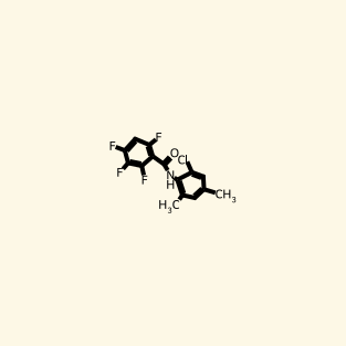 Cc1cc(C)c(NC(=O)c2c(F)cc(F)c(F)c2F)c(Cl)c1